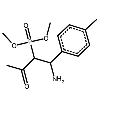 COP(=O)(OC)C(C(C)=O)C(N)c1ccc(C)cc1